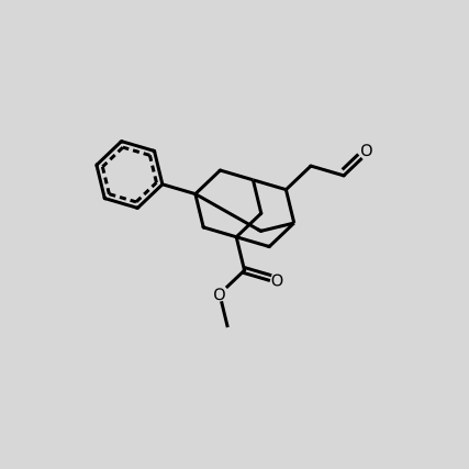 COC(=O)C12CC3CC(c4ccccc4)(CC(C1)C3CC=O)C2